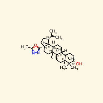 C=C(C)[C@@H]1CC[C@]2(c3nnc(C)o3)CC[C@]3(C)[C@H](CC[C@@H]4[C@@]5(C)CC[C@H](O)C(C)(C)[C@@H]5CC[C@]43C)[C@@H]12